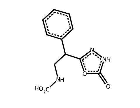 O=C(O)NCC(c1ccccc1)c1n[nH]c(=O)o1